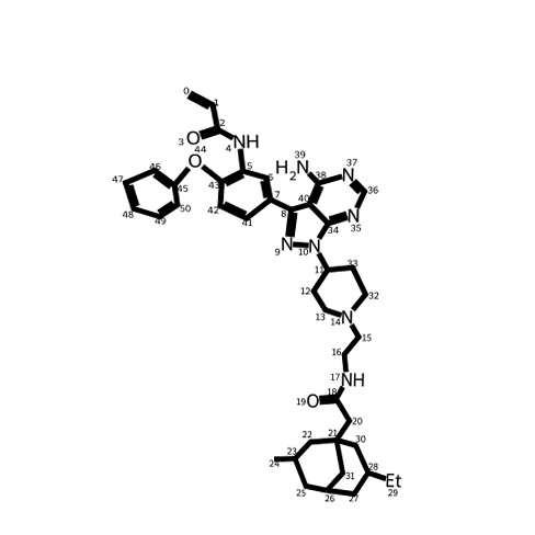 C=CC(=O)Nc1cc(-c2nn(C3CCN(CCNC(=O)CC45CC(C)CC(CC(CC)C4)C5)CC3)c3ncnc(N)c23)ccc1Oc1ccccc1